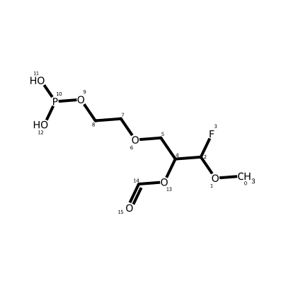 COC(F)C(COCCOP(O)O)OC=O